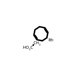 C1=CCCC=CCC1.CC(=O)O.[Rh]